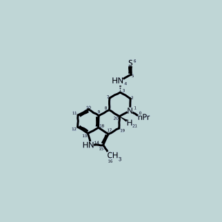 CCCN1C[C@@H](NC=S)CC2c3cccc4[nH]c(C)c(c34)C[C@H]21